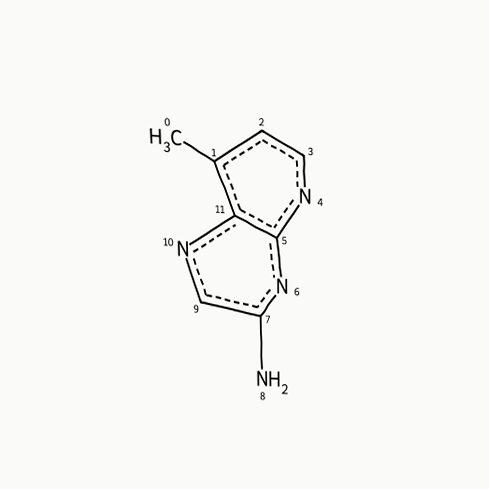 Cc1ccnc2nc(N)cnc12